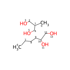 CC(CO)CO.CCCCC(O)CO